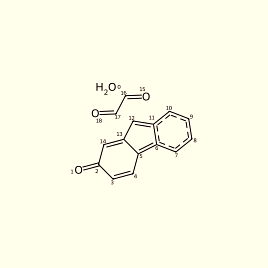 O.O=C1C=CC2=c3ccccc3=CC2=C1.O=CC=O